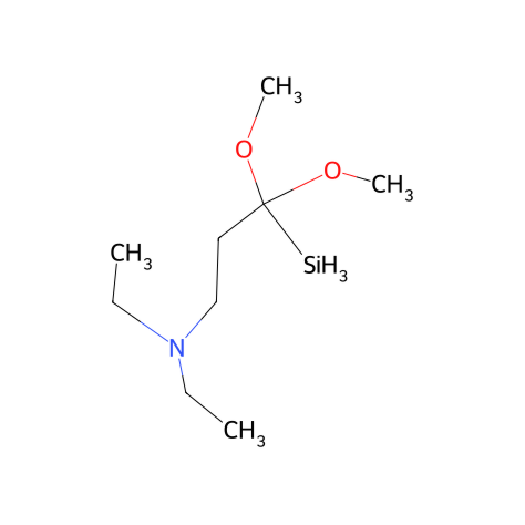 CCN(CC)CCC([SiH3])(OC)OC